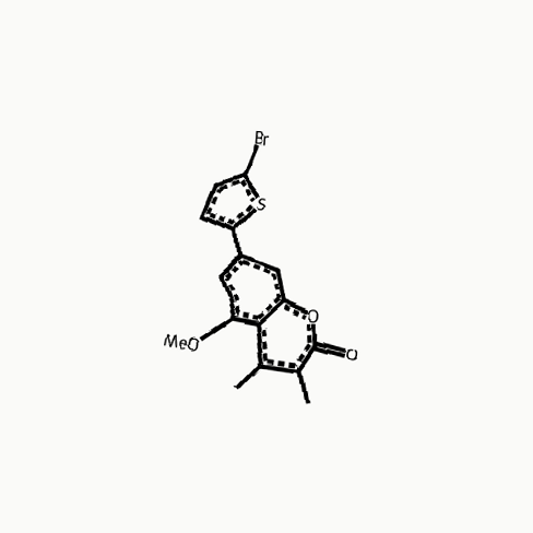 COc1cc(-c2ccc(Br)s2)cc2oc(=O)c(C)c(C)c12